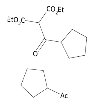 CC(=O)C1CCCC1.CCOC(=O)C(C(=O)OCC)C(=O)C1CCCC1